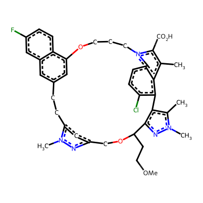 COCCC1OCc2cc(n(C)n2)CCc2cc(c3ccc(F)cc3c2)OCCCn2c(C(=O)O)c(C)c3c(c(Cl)ccc32)-c2c1nn(C)c2C